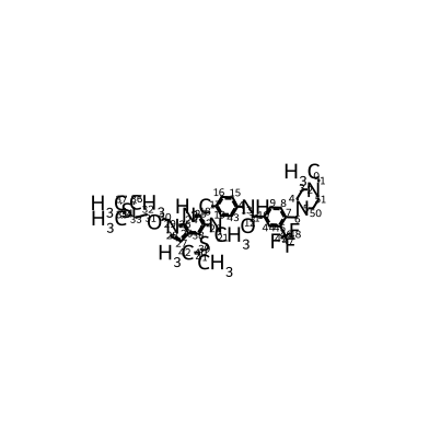 CCN1CCN(Cc2ccc(C(=O)Nc3ccc(C)c(N(C)c4cnc5c(ccn5COCC[Si](C)(C)C)c4SC(C)C)c3)cc2C(F)(F)F)CC1